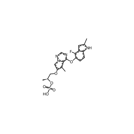 Cc1cc2c(F)c(Oc3ncnn4cc(OC[C@H](C)OS(=O)(=O)O)c(C)c34)ccc2[nH]1